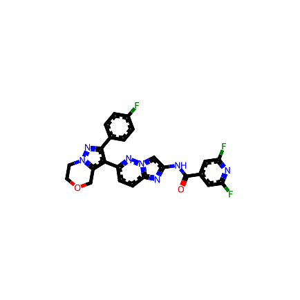 O=C(Nc1cn2nc(-c3c(-c4ccc(F)cc4)nn4c3COCC4)ccc2n1)c1cc(F)nc(F)c1